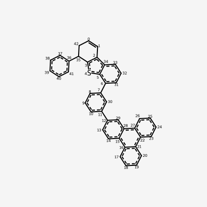 C1=Cc2c(sc3c(-c4cccc(-c5ccc6c7ccccc7c7ccccc7c6c5)c4)cccc23)C(c2ccccc2)C1